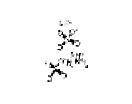 O=S(=O)([O-])[O-].O=S(=O)([O-])[O-].[NH4+].[NH4+].[N].[Ni+2]